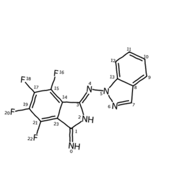 N=C1NC(=Nn2ncc3ccccc32)c2c(F)c(F)c(F)c(F)c21